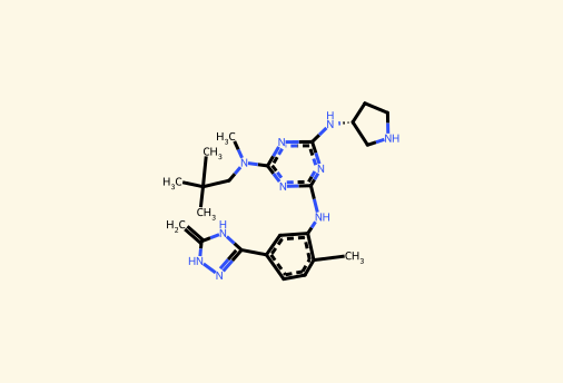 C=C1NN=C(c2ccc(C)c(Nc3nc(N[C@@H]4CCNC4)nc(N(C)CC(C)(C)C)n3)c2)N1